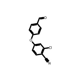 N#Cc1ccc(Oc2ccc(C=O)cc2)cc1Cl